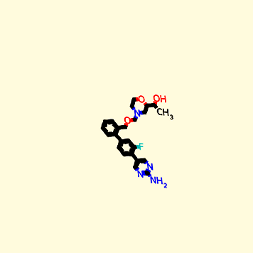 CC(O)C1CN(COCc2ccccc2-c2ccc(-c3cnc(N)nc3)c(F)c2)CCO1